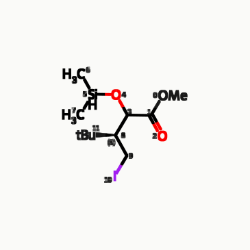 COC(=O)C(O[SiH](C)C)[C@@H](CI)C(C)(C)C